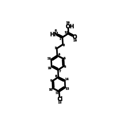 N=C(CCc1ccc(-c2ccc(Cl)cc2)cc1)C(=O)O